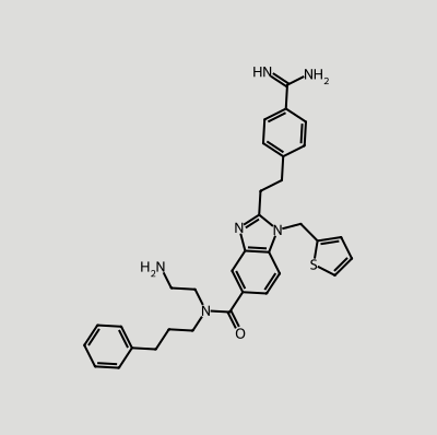 N=C(N)c1ccc(CCc2nc3cc(C(=O)N(CCN)CCCc4ccccc4)ccc3n2Cc2cccs2)cc1